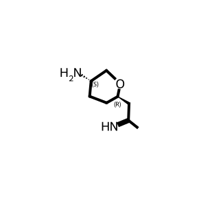 CC(=N)C[C@H]1CC[C@H](N)CO1